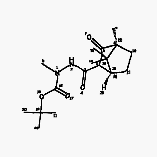 CN(NC(=O)C1C(=O)[C@@]2(C)CC[C@@H]1C2(C)C)C(=O)OC(C)(C)C